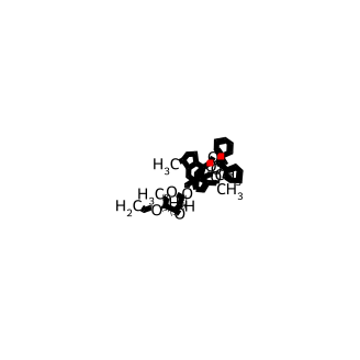 C=CCO[C@@H]1[C@@H]2O[C@@H]2[C@H](OCC23CC4C(C)CCC4C4(C5OCCO5)CC2C=C(C(C)C)C34C(=O)OC(c2ccccc2)c2ccccc2)O[C@@H]1C